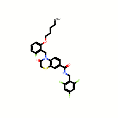 CCCCCCCCCCCCCCOc1cccc(F)c1CN1C(=O)CSc2cc(C(=O)NCc3c(F)cc(F)cc3F)ccc21